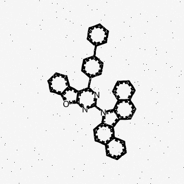 c1ccc(-c2ccc(-c3nc(-n4c5ccc6ccccc6c5c5ccc6ccccc6c54)nc4oc5ccccc5c34)cc2)cc1